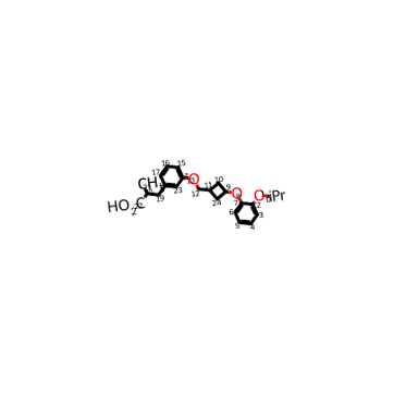 CC(C)Oc1ccccc1OC1CC(COc2cccc(CC(C)C(=O)O)c2)C1